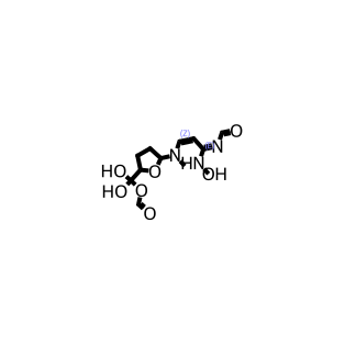 CN(/C=C\C(=N/C=O)NO)C1CCC(C(O)(O)OC=O)O1